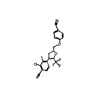 Cc1c(N2C[C@@H](COc3ccc(C#N)cc3)O[C@H]2C(F)(F)F)ccc(C#N)c1Cl